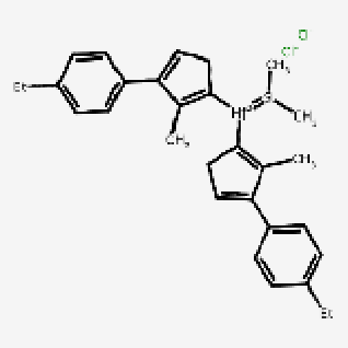 CCc1ccc(C2=CC[C]([Hf+2]([C]3=C(C)C(c4ccc(CC)cc4)=CC3)=[Si](C)C)=C2C)cc1.[Cl-].[Cl-]